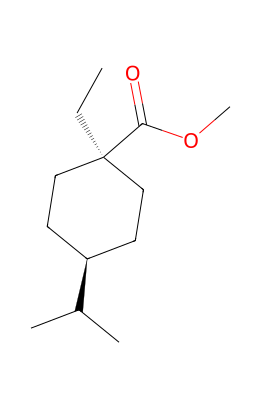 CC[C@]1(C(=O)OC)CC[C@@H](C(C)C)CC1